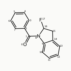 O=C(c1ccccc1)N1c2ccccc2CC1F